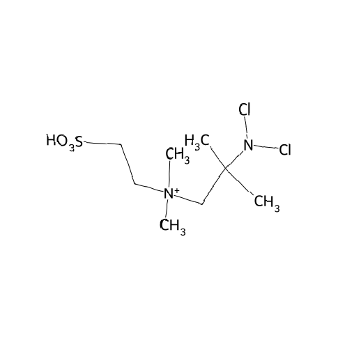 CC(C)(C[N+](C)(C)CCS(=O)(=O)O)N(Cl)Cl